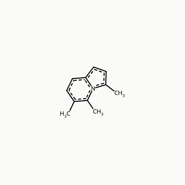 Cc1ccc2ccc(C)n2c1C